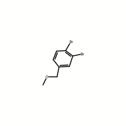 [CH2]OCc1ccc(Br)c(Br)c1